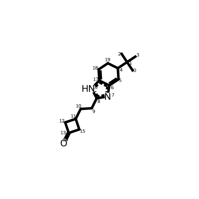 CC(C)(C)C1C=c2nc(CCC3CC(=O)C3)[nH]c2=CC1